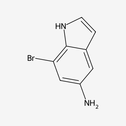 Nc1cc(Br)c2[nH]ccc2c1